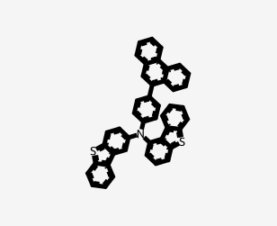 c1ccc2c(c1)cc(-c1ccc(N(c3ccc4sc5ccccc5c4c3)c3cccc4sc5ccccc5c34)cc1)c1ccccc12